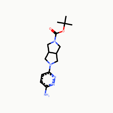 CC(C)(C)OC(=O)N1CC2CN(c3ccc(N)nn3)CC2C1